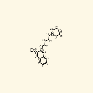 CCc1cc2ccccc2cc1OCCCCN1CCOCC1